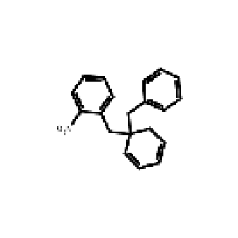 O=[N+]([O-])c1ccccc1CC1(Cc2ccccc2)C=CC=CC1